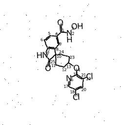 O=C(NO)c1ccc2c(c1)C1(CCC(Oc3ncc(Cl)cc3Cl)CC1)C(=O)N2